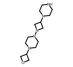 C1CN(C2CN(N3CCN(C4COC4)CC3)C2)CCN1